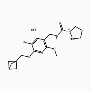 COc1nc(OCC23CC(C2)C3)c(F)cc1CNC(=O)[C@@H]1CCCN1.Cl